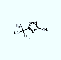 Cn1nnc(C(C)(C)C)n1